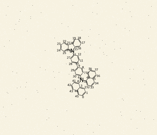 c1ccc2c(N(c3ccc(-c4ccc(-n5c6ccccc6c6ccccc65)cc4)cc3)c3cccc4ccccc34)cccc2c1